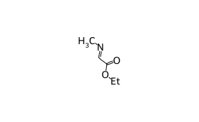 CCOC(=O)/C=N/C